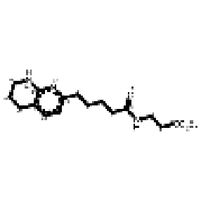 CCOC(=O)CCNC(=O)CCCCc1ccc2c(n1)NCCC2